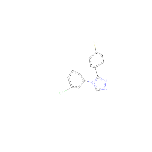 Sc1ccc(-c2nncn2-c2cccc(Cl)c2)cc1